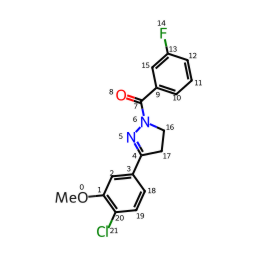 COc1cc(C2=NN(C(=O)c3cccc(F)c3)CC2)ccc1Cl